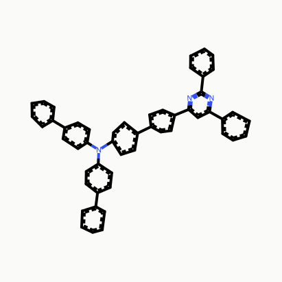 c1ccc(-c2ccc(N(c3ccc(-c4ccccc4)cc3)c3ccc(-c4ccc(-c5cc(-c6ccccc6)nc(-c6ccccc6)n5)cc4)cc3)cc2)cc1